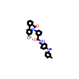 Cc1cccc(N(C)c2ccc(CNC(=O)c3cccc(NC(=O)c4ccccc4-c4ccc(C(F)(F)F)cc4)c3)cc2)c1